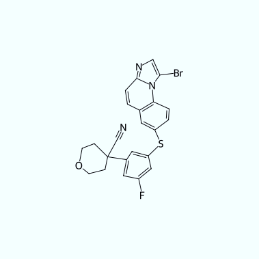 N#CC1(c2cc(F)cc(Sc3ccc4c(ccc5ncc(Br)n54)c3)c2)CCOCC1